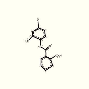 O=C(O)c1ccccc1C(=O)Nc1ccc(Cl)cc1C(F)(F)F